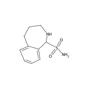 NS(=O)(=O)C1NCCCc2ccccc21